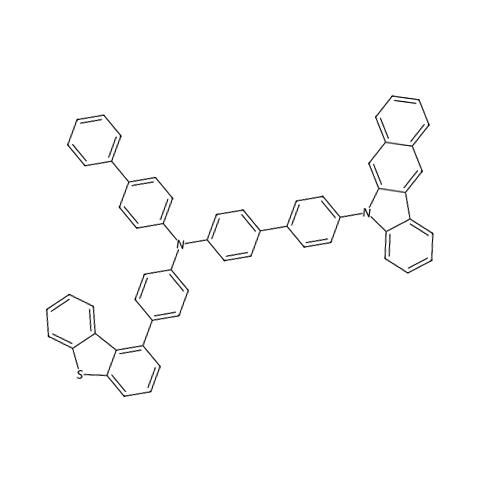 c1ccc(-c2ccc(N(c3ccc(-c4ccc(-n5c6ccccc6c6cc7ccccc7cc65)cc4)cc3)c3ccc(-c4cccc5sc6ccccc6c45)cc3)cc2)cc1